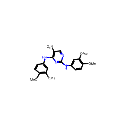 COc1ccc(Nc2ncc([N+](=O)[O-])c(Nc3ccc(OC)c(OC)c3)n2)cc1OC